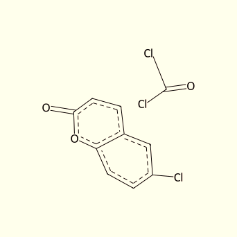 O=C(Cl)Cl.O=c1ccc2cc(Cl)ccc2o1